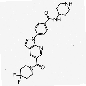 O=C(NC1CCNCC1)c1ccc(-n2ccc3cc(C(=O)N4CCC(F)(F)CC4)cnc32)cc1